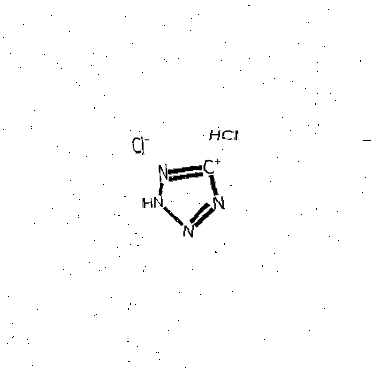 Cl.[C+]1=NNN=N1.[Cl-]